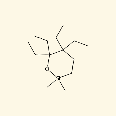 CCC1(CC)CC[Si](C)(C)OC1(CC)CC